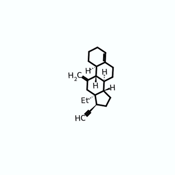 C#C[C@@H]1CC[C@H]2[C@@H]3CCC4=CCCC[C@@H]4[C@H]3C(=C)C[C@]12CC